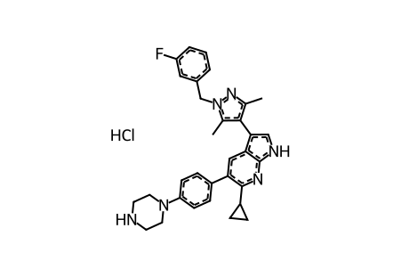 Cc1nn(Cc2cccc(F)c2)c(C)c1-c1c[nH]c2nc(C3CC3)c(-c3ccc(N4CCNCC4)cc3)cc12.Cl